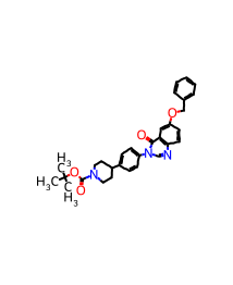 CC(C)(C)OC(=O)N1CCC(c2ccc(-n3cnc4ccc(OCc5ccccc5)cc4c3=O)cc2)CC1